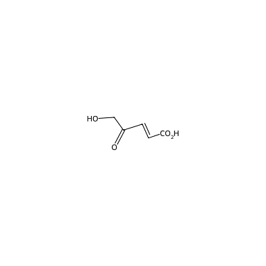 O=C(O)C=CC(=O)CO